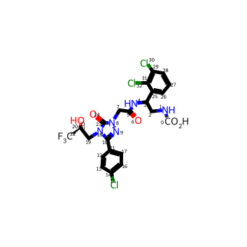 O=C(O)NCC(NC(=O)Cn1nc(-c2ccc(Cl)cc2)n(C[C@H](O)C(F)(F)F)c1=O)c1cccc(Cl)c1Cl